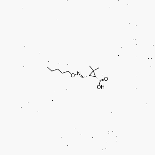 CCCCCON=C[C@H]1[C@@H](C(=O)O)C1(C)C